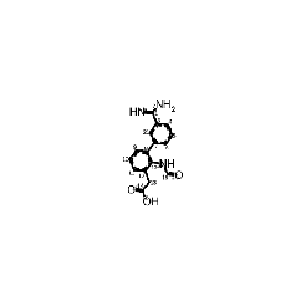 N=C(N)c1cccc(-c2cccc(CC(=O)O)c2NC=O)c1